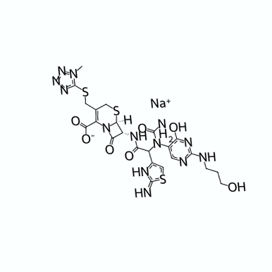 Cn1nnnc1SCC1=C(C(=O)[O-])N2C(=O)[C@@H](NC(=O)C(c3csc(=N)[nH]3)N(C(N)=O)c3cnc(NCCCO)nc3O)[C@@H]2SC1.[Na+]